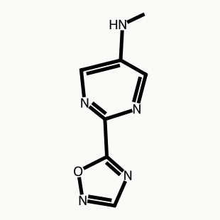 CNc1cnc(-c2ncno2)nc1